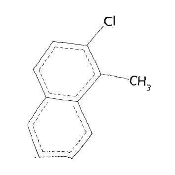 Cc1c(Cl)ccc2c[c]ccc12